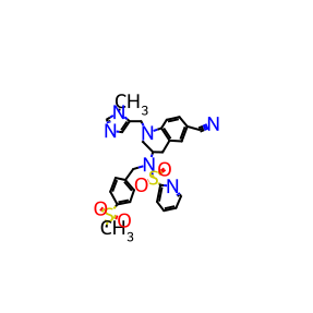 Cn1cncc1CN1CC(N(Cc2ccc(S(C)(=O)=O)cc2)S(=O)(=O)c2ccccn2)Cc2cc(C#N)ccc21